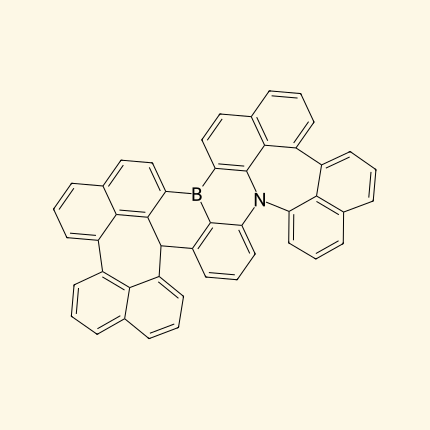 c1cc2c3c(c1)-n1c4cccc5cccc(c6cccc7ccc(c1c76)B3c1ccc3cccc6c3c1C2c1cccc2cccc-6c12)c54